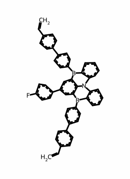 C=Cc1ccc(-c2ccc(B3c4ccccc4N4c5ccccc5B(c5ccc(-c6ccc(C=C)cc6)cc5)c5cc(-c6ccc(F)cc6)cc3c54)cc2)cc1